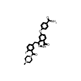 CN1CCN(C(=O)c2cc(Cc3n[nH]c(=O)c4ccc(Oc5ccc(C(N)=O)cc5)cc34)ccc2F)CC1